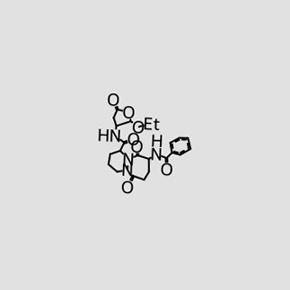 CCOC1OC(=O)CC1NC(=O)C1CCCN2C(=O)CCC(NC(=O)c3ccccc3)C(=O)N12